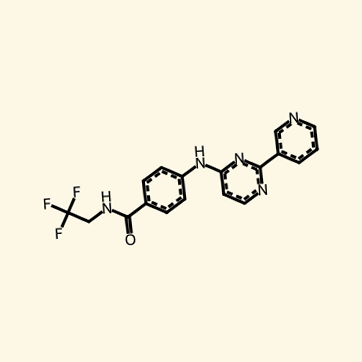 O=C(NCC(F)(F)F)c1ccc(Nc2ccnc(-c3cccnc3)n2)cc1